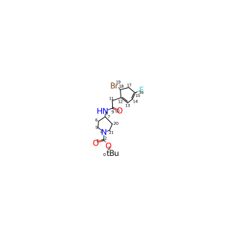 CC(C)(C)OC(=O)N1CCC(NC(=O)CC2=CC=C(F)CC2Br)CC1